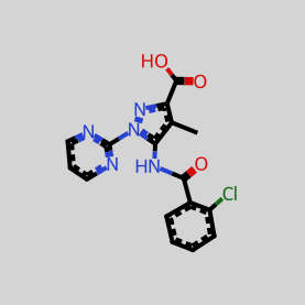 Cc1c(C(=O)O)nn(-c2ncccn2)c1NC(=O)c1ccccc1Cl